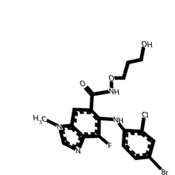 Cn1cnc2c(F)c(Nc3ccc(Br)cc3Cl)c(C(=O)NOCCCO)cc21